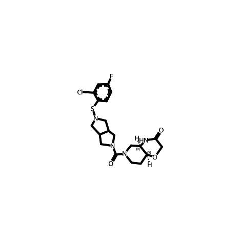 O=C1CO[C@H]2CCN(C(=O)N3CC4CN(Sc5ccc(F)cc5Cl)CC4C3)C[C@H]2N1